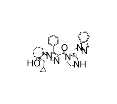 O=C(c1ncn([C@@H]2CCCC[C@@]2(O)CC2CC2)c1-c1ccccc1)N1CCNC[C@H]1Cn1ncc2ccccc21